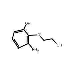 Nc1cccc(O)c1OCCO